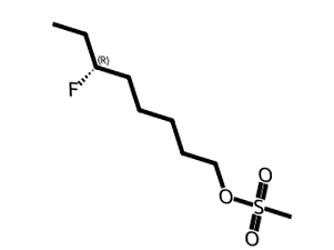 CC[C@@H](F)CCCCCOS(C)(=O)=O